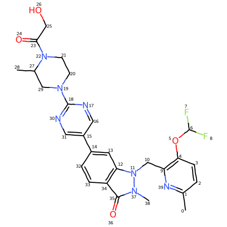 Cc1ccc(OC(F)F)c(Cn2c3cc(-c4cnc(N5CCN(C(=O)CO)C(C)C5)nc4)ccc3c(=O)n2C)n1